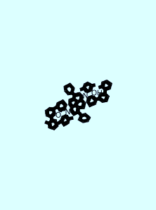 Cc1ccc(C)c(N(c2cccc(-c3cccc(-c4ccccc4C)c3)c2O)c2cc(C3CCCCC3)c3ccc4c(N(c5cc(C)ccc5C)c5cccc6c5oc5c(-c7ccccc7C)cccc56)cc(C5CCCCC5)c5ccc2c3c54)c1